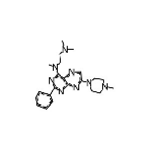 CN(C)CCN(C)c1nc(-c2ccccc2)nc2nc(N3CCN(C)CC3)cnc12